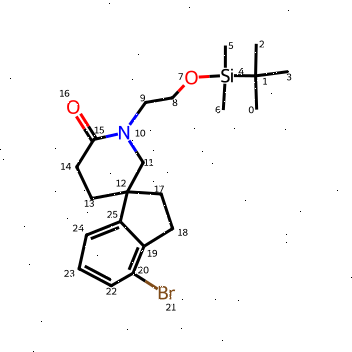 CC(C)(C)[Si](C)(C)OCCN1CC2(CCC1=O)CCc1c(Br)cccc12